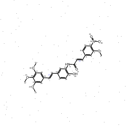 COc1cc(/C=C/C(=O)Nc2cc(/C=C/c3cc(OC)c(OC)c(OC)c3)ccc2O)ccc1[N+](=O)[O-]